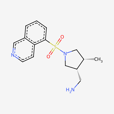 C[C@H]1CN(S(=O)(=O)c2cccc3cnccc23)C[C@H]1CN